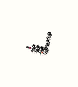 CN(C)C(On1nnc2cccnc21)=[N+](C)C.CN(C)C(On1nnc2cccnc21)=[N+](C)C.CN(C)C(On1nnc2cccnc21)=[N+](C)C.CN(C)C(On1nnc2cccnc21)=[N+](C)C.CN(C)C(On1nnc2cccnc21)=[N+](C)C.CN(C)C(On1nnc2cccnc21)=[N+](C)C.[F-].[F-].[F-].[F-].[F-].[F-]